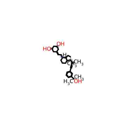 C[C@H](C#Cc1cccc(C(C)(C)O)c1)[C@H]1CC[C@H]2/C(=C/C=C3C[C@@H](O)C[C@H](O)C3)CCC[C@]12C